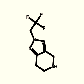 FC(F)(F)Cn1cc2c(n1)CCNC2